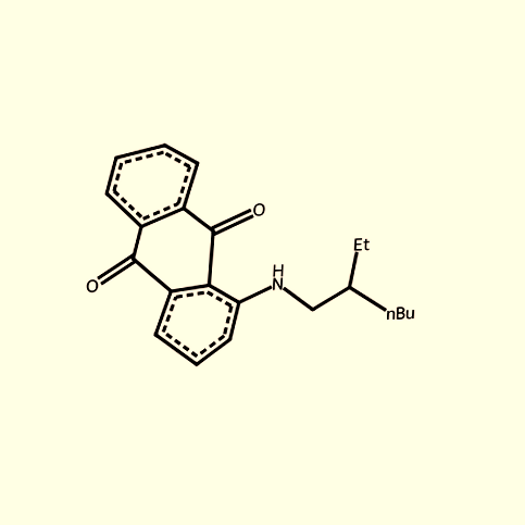 CCCCC(CC)CNc1cccc2c1C(=O)c1ccccc1C2=O